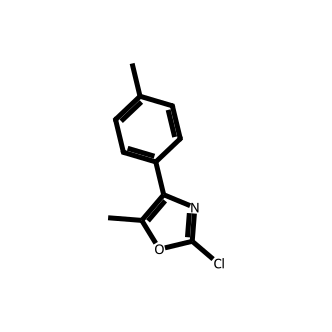 Cc1ccc(-c2nc(Cl)oc2C)cc1